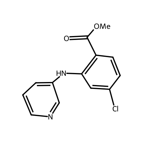 COC(=O)c1ccc(Cl)cc1Nc1cccnc1